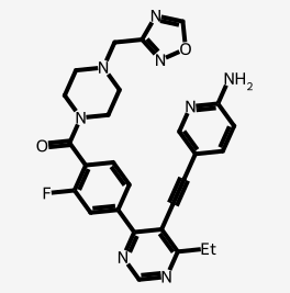 CCc1ncnc(-c2ccc(C(=O)N3CCN(Cc4ncon4)CC3)c(F)c2)c1C#Cc1ccc(N)nc1